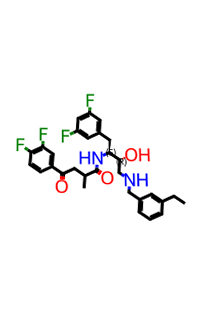 CCc1cccc(CNC[C@@H](O)[C@H](Cc2cc(F)cc(F)c2)NC(=O)C(C)CC(=O)c2ccc(F)c(F)c2)c1